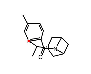 Cc1ccc(C(=O)N2C3CC2CN(C(C)C)C3)nc1